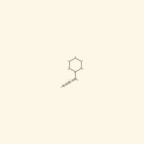 [N-]=[N+]=NC1CCCCC1